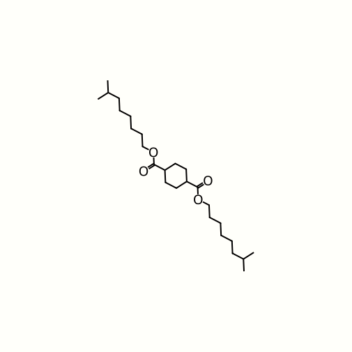 CC(C)CCCCCCOC(=O)C1CCC(C(=O)OCCCCCCC(C)C)CC1